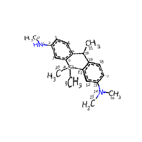 CNc1ccc2c(c1)[Si](C)(C)c1cc(N(C)C)ccc1C2C